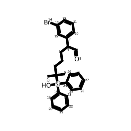 CC(C)(CCCC(C=O)c1cccc(Br)c1)[Si](O)(c1ccccc1)c1ccccc1